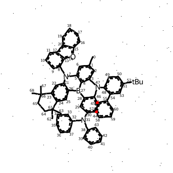 Cc1cc2c3c(c1)N(c1cccc4c1oc1ccccc14)c1cc4c(cc1B3c1cc(N(c3ccccc3)c3ccccc3)ccc1N2c1ccc(C(C)(C)C)cc1-c1ccccc1)C(C)(C)CCC4(C)C